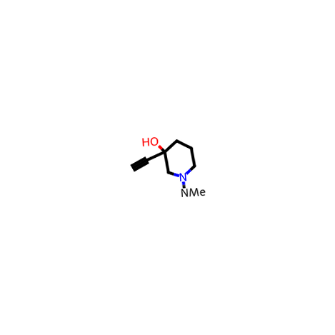 C#CC1(O)CCCN(NC)C1